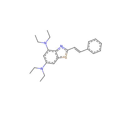 CCN(CC)c1cc(N(CC)CC)c2nc(C=Cc3ccccc3)sc2c1